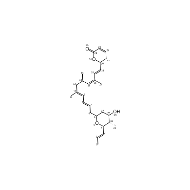 C/C=C/C1OC(C/C=C/C=C(\C)C[C@@H](C)/C=C(C)\C=C\C2CC=CC(=O)O2)CC(O)[C@@H]1C